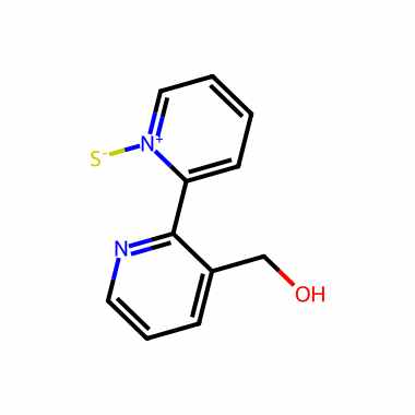 OCc1cccnc1-c1cccc[n+]1[S-]